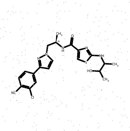 CC(O)C(C)Nc1nc(C(=O)N[C@H](C)Cn2ccc(-c3ccc(C#N)c(Cl)c3)n2)cs1